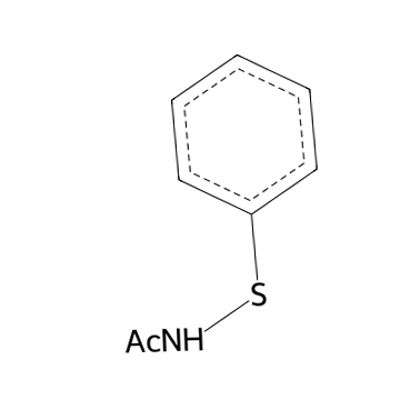 CC(=O)NSc1ccccc1